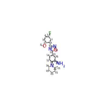 COc1ccc(F)cc1-c1noc(-c2ccc(N3CCCCC3C)c(N)c2)n1